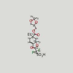 CCC1(C(=O)OCC2COC(C)(C)O2)CC=CC(C)(OC(=O)C(F)(F)S(=O)(=O)O)C1